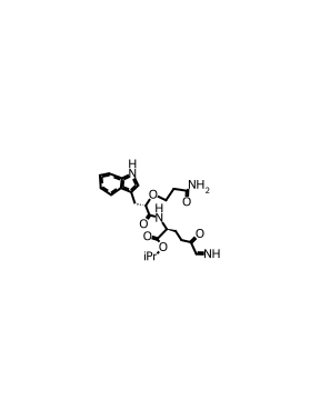 CC(C)OC(=O)[C@H](CCC(=O)C=N)NC(=O)[C@H](Cc1c[nH]c2ccccc12)OCCC(N)=O